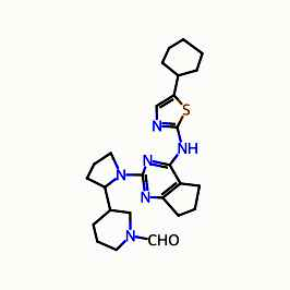 O=CN1CCCC(C2CCCN2c2nc3c(c(Nc4ncc(C5CCCCC5)s4)n2)CCC3)C1